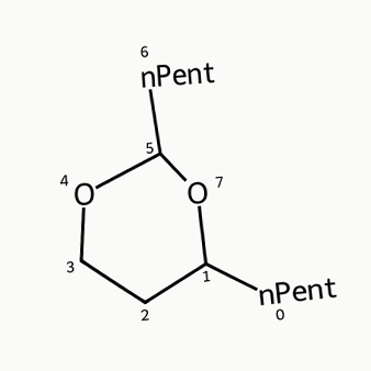 CCCCCC1CCOC(CCCCC)O1